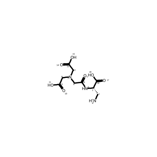 NC[C@H](NC(=O)CN(CC(=O)O)CC(=O)O)C(=O)O